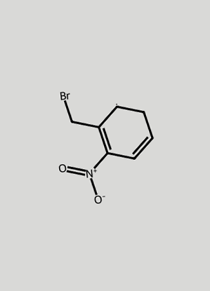 O=[N+]([O-])C1=C(CBr)[CH]CC=C1